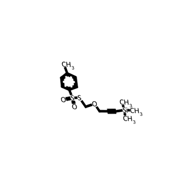 Cc1ccc(S(=O)(=O)SCOCC#C[Si](C)(C)C)cc1